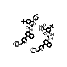 CC(C)(C)c1ccc(C(=O)N2CCOCC2)c(NC(=O)Nc2ccc(-c3ccc(CN4CCOCC4)nc3)c3ccccc23)c1.COc1c(CC(N)=O)cc(C(C)(C)C)cc1NC(=O)Nc1ccc(-c2ccc(CN3CCOCC3)nc2)c2ccccc12